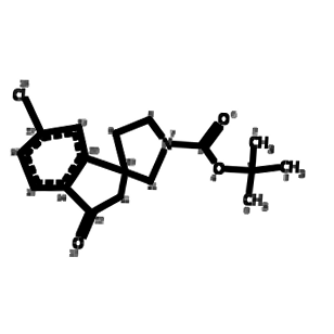 CC(C)(C)OC(=O)N1CCC2(CC(=O)c3ccc(Cl)cc32)C1